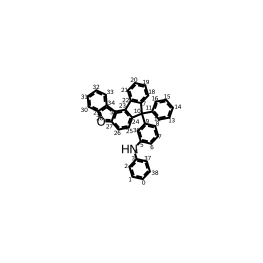 c1ccc(Nc2cccc(C3(c4ccccc4)c4ccccc4-c4c3ccc3oc5ccccc5c43)c2)cc1